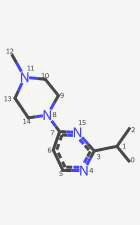 CC(C)c1nccc(N2CCN(C)CC2)n1